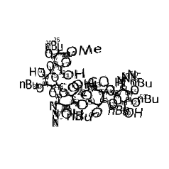 CCCCOC1[C@H](O[C@@H]2C(CO)O[C@@H](OC3C(C(=O)O)OC(O[C@@H]4C(CO)O[C@H](OC)C(C)[C@H]4OCCCC)[C@@H](O)[C@@H]3OCCCC)C(N=[N+]=[N-])[C@H]2O)OC(C(=O)O)[C@@H](O[C@H]2OC(CO)[C@@H](OCCCC)[C@H](OCCCC)[C@@H]2N=[N+]=[N-])[C@@H]1OCCCC